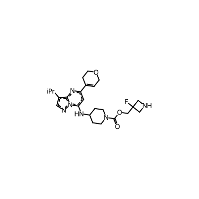 CC(C)c1cnn2c(NC3CCN(C(=O)OCC4(F)CNC4)CC3)cc(C3=CCOCC3)nc12